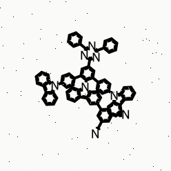 N#Cc1cc(C#N)cc(-c2ccc3c(c2)c2ccccc2n3-c2c(-c3ccc(-n4c5ccccc5c5ccccc54)cc3)cc(-c3nc(-c4ccccc4)nc(-c4ccccc4)n3)cc2-c2ccc(-n3c4ccccc4c4ccccc43)cc2)c1